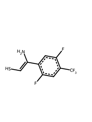 N/C(=C\S)c1cc(F)c(C(F)(F)F)cc1F